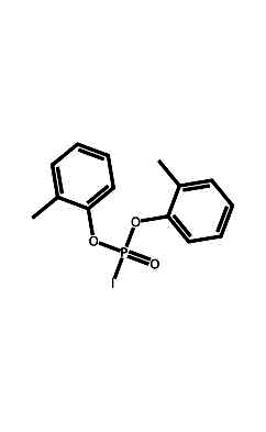 Cc1ccccc1OP(=O)(I)Oc1ccccc1C